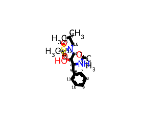 CC(=O)NC(Cc1ccccc1)C(O)CN(CC(C)C)S(C)(=O)=O